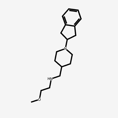 COCCNCC1CCN(C2Cc3ccccc3C2)CC1